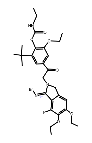 CCNC(=O)Oc1c(OCC)cc(C(=O)CN2Cc3cc(OCC)c(OCC)c(F)c3/C2=N/Br)cc1C(C)(C)C